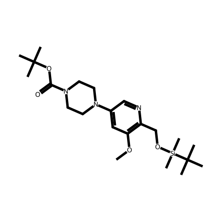 COc1cc(N2CCN(C(=O)OC(C)(C)C)CC2)cnc1CO[Si](C)(C)C(C)(C)C